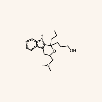 CCCC1(CCCO)OC(CN(C)C)Cc2c1[nH]c1ccccc21